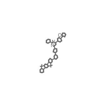 CC1(C)c2ccccc2-c2cc3c(cc21)-c1ccc(-c2cccc(-c4ccc(-c5cc(-c6ccc7c(c6)oc6ccccc67)nc(-c6ccccc6)n5)cc4)c2)cc1C3(C)C